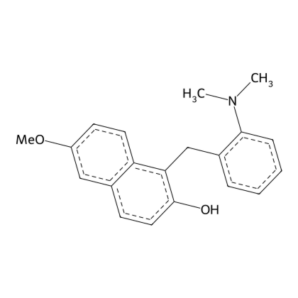 COc1ccc2c(Cc3ccccc3N(C)C)c(O)ccc2c1